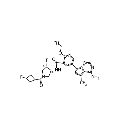 [2H]COc1ncc(-c2cc(C(F)(F)F)c3c(N)ncnn23)cc1C(=O)N[C@@H]1CN(C(=O)C2CC(F)C2)C[C@@H]1F